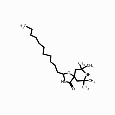 CCCCCCCCCCCC1NC(=O)C2(CC(C)(C)NC(C)(C)C2)O1